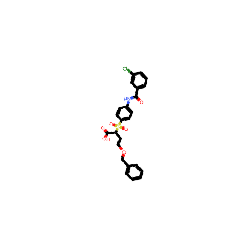 O=C(Nc1ccc(S(=O)(=O)C(CCOCc2ccccc2)C(=O)O)cc1)c1cccc(Cl)c1